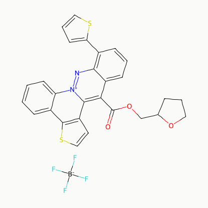 F[B-](F)(F)F.O=C(OCC1CCCO1)c1c2cccc(-c3cccs3)c2n[n+]2c3ccccc3c3sccc3c12